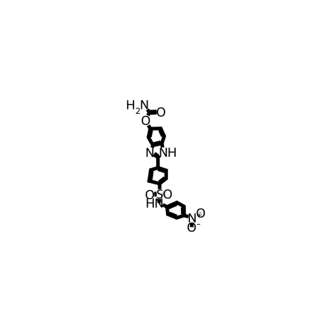 NC(=O)Oc1ccc2[nH]c(-c3ccc(S(=O)(=O)Nc4ccc([N+](=O)[O-])cc4)cc3)nc2c1